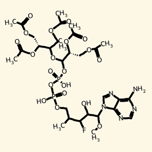 COC(C(O)C(F)C(C)COP(=O)(O)OP(=O)(O)OC(OC([C@H](C)OC(C)=O)[C@@H](COC(C)=O)OC(C)=O)[C@@H](COC(C)=O)OC(C)=O)n1cnc2c(N)ncnc21